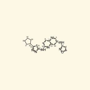 c1cc(Nc2cnc3ccc(Nc4nnc(C5CCCC5)s4)nc3c2)no1